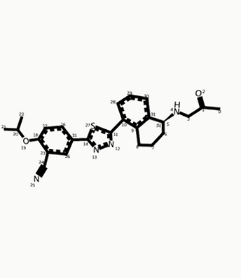 CC(=O)CN[C@H]1CCCc2c(-c3nnc(-c4ccc(OC(C)C)c(C#N)c4)s3)cccc21